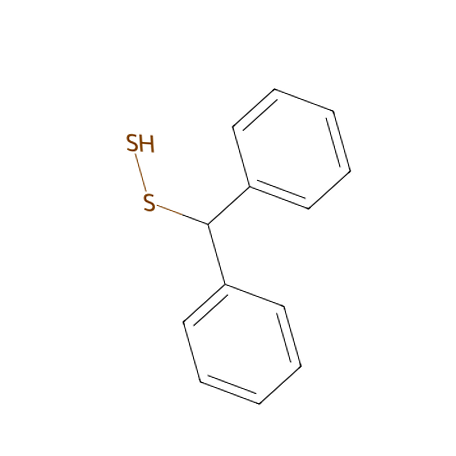 SSC(c1ccccc1)c1ccccc1